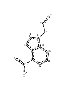 O=CCn1ncc2c([N+](=O)[O-])cccc21